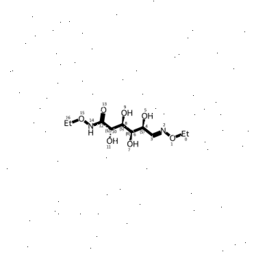 CCON=C[C@H](O)[C@@H](O)[C@H](O)[C@H](O)C(=O)NOCC